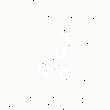 Cc1cccc(CN(C(=O)CC2CCCCC2)C2CCN(C(C)CCN)CC2)c1